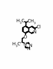 CC(C)c1ccc(OC[C@@H](C)n2cnnc2)c2cnc(Cl)cc12